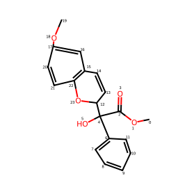 COC(=O)C(O)(c1ccccc1)C1C=Cc2cc(OC)ccc2O1